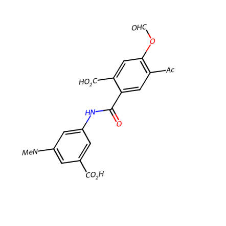 CNc1cc(NC(=O)c2cc(C(C)=O)c(OC=O)cc2C(=O)O)cc(C(=O)O)c1